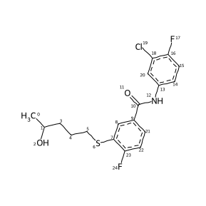 CC(O)CCCSc1cc(C(=O)Nc2ccc(F)c(Cl)c2)ccc1F